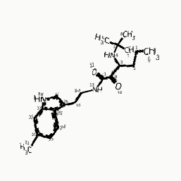 CCCC(NC(C)(C)C)C(=O)C(=O)NCCc1c[nH]c2cc(C)ccc12